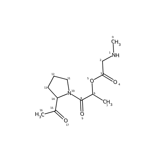 CNCC(=O)OC(C)C(=O)N1CCCC1C(C)=O